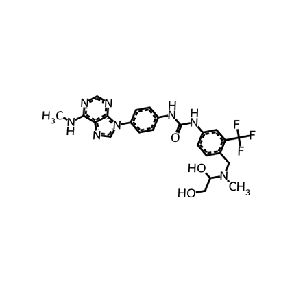 CNc1ncnc2c1ncn2-c1ccc(NC(=O)Nc2ccc(CN(C)C(O)CO)c(C(F)(F)F)c2)cc1